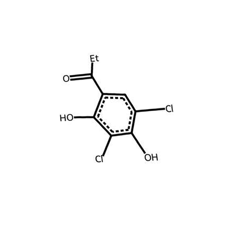 CCC(=O)c1cc(Cl)c(O)c(Cl)c1O